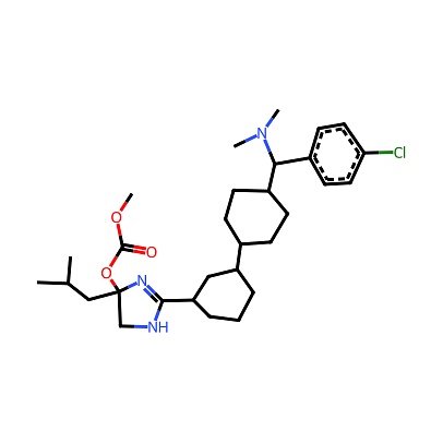 COC(=O)OC1(CC(C)C)CNC(C2CCCC(C3CCC(C(c4ccc(Cl)cc4)N(C)C)CC3)C2)=N1